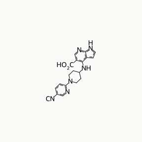 [C-]#[N+]c1ccc(N2CCC(Nc3c(C(=O)O)cnc4[nH]ccc34)CC2)nc1